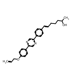 C=CCOc1ccc(-c2cnc(-c3ccc(/C=C/CCCC(C)O)cc3)cn2)cc1